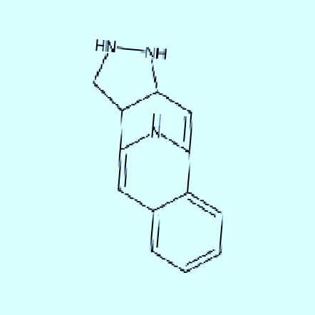 C1=C2NC(=Cc3ccccc32)C2CNNC12